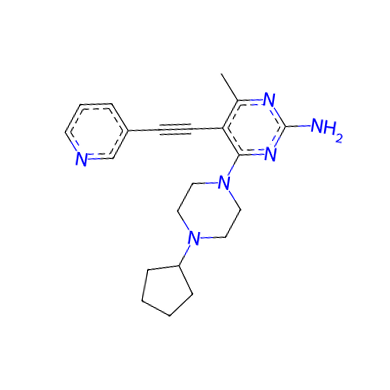 Cc1nc(N)nc(N2CCN(C3CCCC3)CC2)c1C#Cc1cccnc1